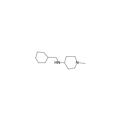 CN1CCC(NCC2CCCCC2)CC1